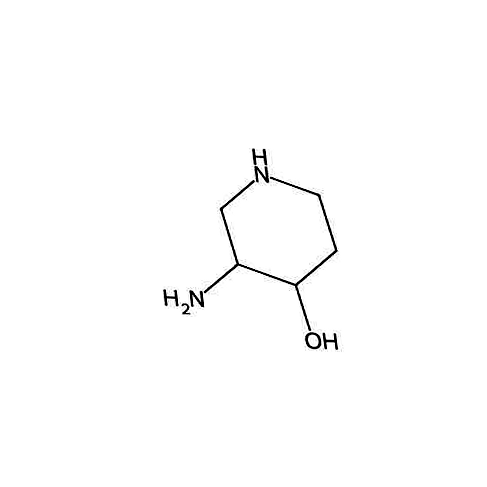 NC1CNCCC1O